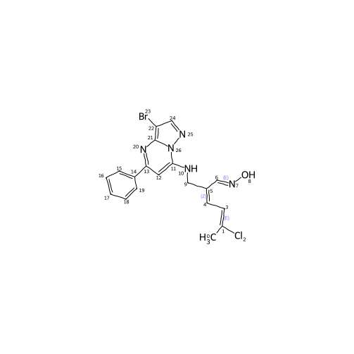 C\C(Cl)=C/C=C(\C=N\O)CNc1cc(-c2ccccc2)nc2c(Br)cnn12